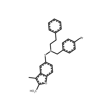 Cc1c(C(=O)O)oc2ccc(SN(CCc3ccccc3)Cc3ccc(C(C)C)cc3)cc12